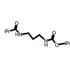 CC(C)OC(=O)NCCCNC(=O)C(C)C